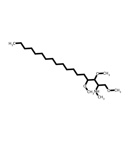 CCCCCCCCCCCCCCC(OC)C(OC)C(COC)NC